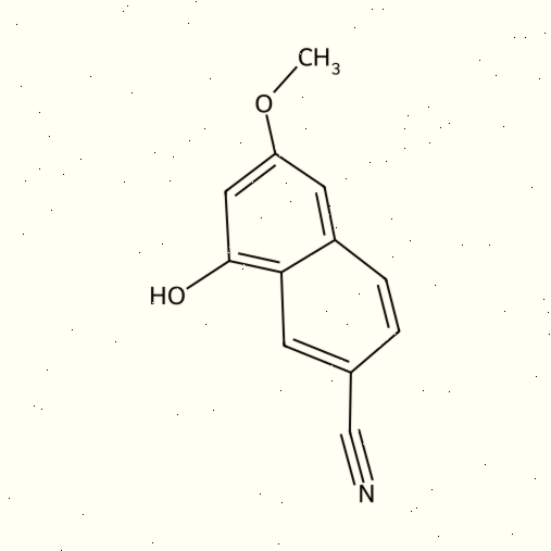 COc1cc(O)c2cc(C#N)ccc2c1